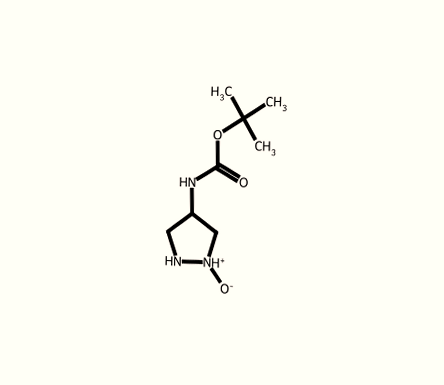 CC(C)(C)OC(=O)NC1CN[NH+]([O-])C1